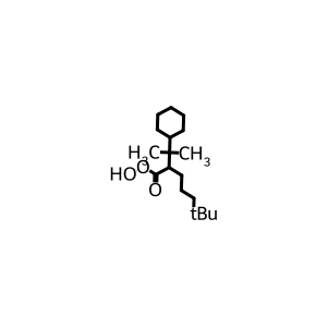 CC(C)(C)CCCC(C(=O)OO)C(C)(C)C1CCCCC1